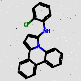 Clc1ccccc1Nc1ccc2c3ccccc3c3ccccc3n12